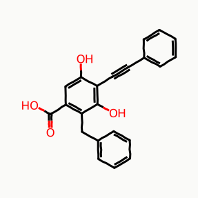 O=C(O)c1cc(O)c(C#Cc2ccccc2)c(O)c1Cc1ccccc1